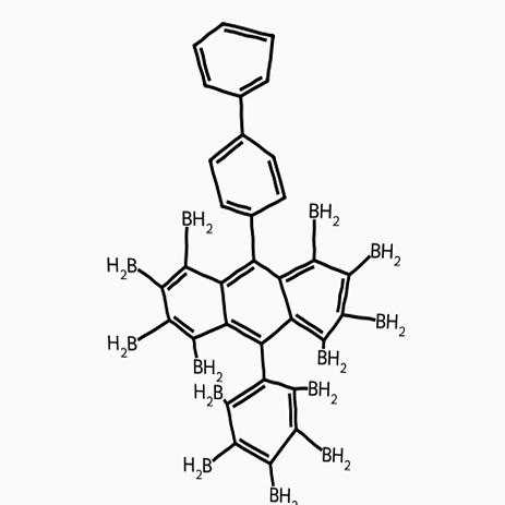 Bc1c(B)c(B)c(-c2c3c(B)c(B)c(B)c(B)c3c(-c3ccc(-c4ccccc4)cc3)c3c(B)c(B)c(B)c(B)c23)c(B)c1B